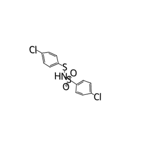 O=S(=O)(NSc1ccc(Cl)cc1)c1ccc(Cl)cc1